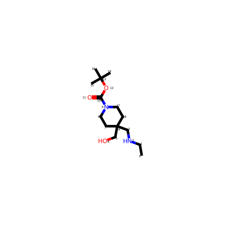 CCNCC1(CO)CCN(C(=O)OC(C)(C)C)CC1